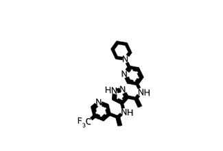 C=C(Nc1c[nH]nc1C(=C)Nc1ccc(N2CCCCC2)nc1)c1cncc(C(F)(F)F)c1